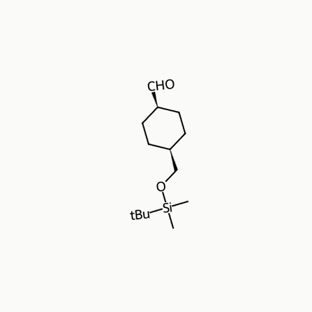 CC(C)(C)[Si](C)(C)OC[C@H]1CC[C@@H](C=O)CC1